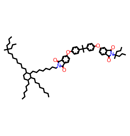 CCCCCCCCC1C(CCCCCC)CCC(CCCCCCCCC(C)(CCC)CCCC)C1CCCCCCCCN1C(=O)c2ccc(Oc3ccc(C(C)(C)c4ccc(Oc5ccc6c(c5)C(=O)N(C(C)(CCC)CCC)C6=O)cc4)cc3)cc2C1=O